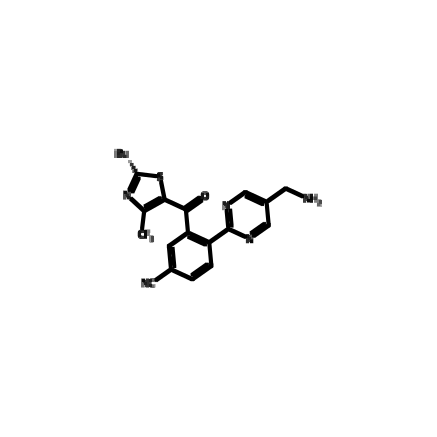 CC[C@@H](C)c1nc(C(F)(F)F)c(C(=O)c2cc(C#N)ccc2-c2ncc(CN)cn2)s1